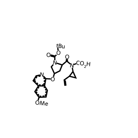 C=CC1CC1N(C(=O)O)C(=O)C1CC(Oc2nccc3cc(OC)ccc23)CN1C(=O)OC(C)(C)C